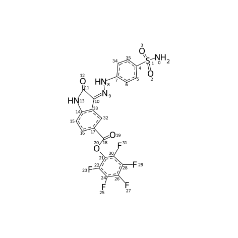 NS(=O)(=O)c1ccc(NN=C2C(=O)Nc3ccc(C(=O)Oc4c(F)c(F)c(F)c(F)c4F)cc32)cc1